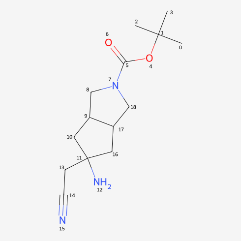 CC(C)(C)OC(=O)N1CC2CC(N)(CC#N)CC2C1